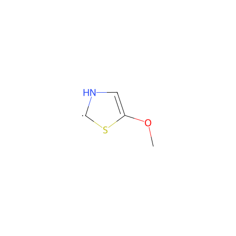 COC1=CN[CH]S1